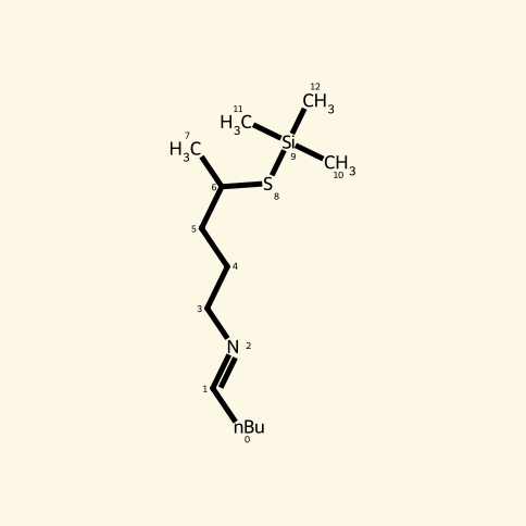 CCCC/C=N/CCCC(C)S[Si](C)(C)C